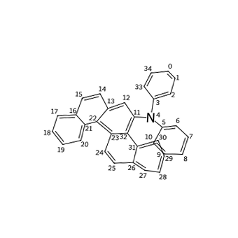 c1ccc(N(c2ccccc2)c2cc3ccc4ccccc4c3c3ccc4ccccc4c23)cc1